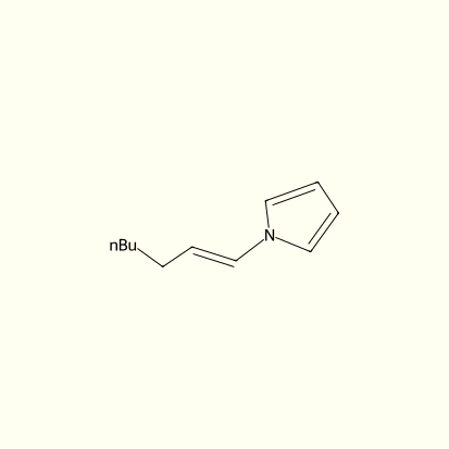 CCCCCC=Cn1cccc1